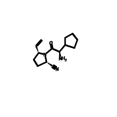 C=C[C@H]1CC[C@@H](C#N)N1C(=O)[C@H](N)C1CCCC1